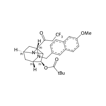 COc1ccc2cc(CN3[C@@H]4C[C@@H]5C[C@H]3[C@H](OC(=O)C(C)(C)C)C4N(C(=O)CC(F)(F)F)C5)ccc2c1